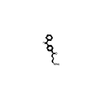 CCCCCCCCCCCCCC(=O)c1ccc(C(=O)c2ccccc2)cc1